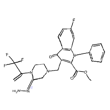 C=C(N1CCN(Cc2c(C(=O)OC)n(-c3ccccc3)c3cc(F)ccc3c2=O)C/C1=N/N)C(F)(F)F